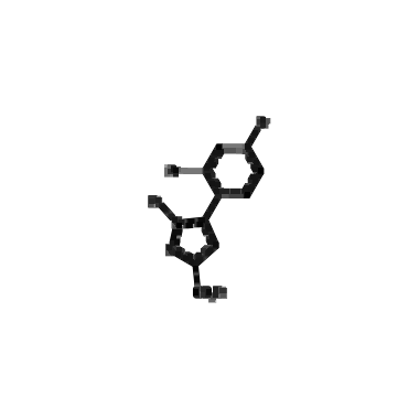 CCOC(=O)c1cc(-c2ccc(Br)cc2C(C)C)n(CC)n1